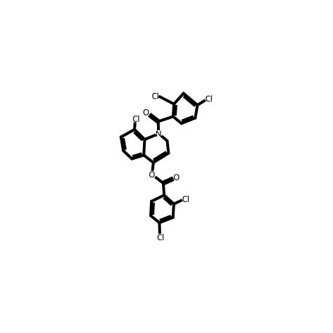 O=C(OC1=CCN(C(=O)c2ccc(Cl)cc2Cl)c2c(Cl)cccc21)c1ccc(Cl)cc1Cl